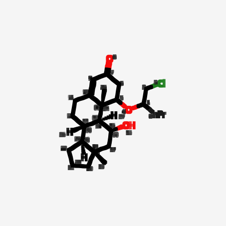 CCCC(CCl)OC1CC(=O)C=C2CC[C@@H]3[C@H]([C@@H](O)C[C@]4(C)CCC[C@@H]34)[C@]21C